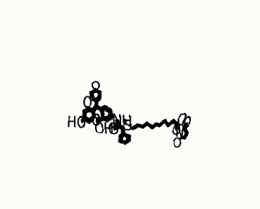 O=C(CCCCCCCCCCSC(C(=O)Nc1ccc(-c2c3ccc(=O)cc-3oc3cc(O)ccc23)c(C(=O)O)c1)c1ccccc1)ON1C(=O)CCC1=O